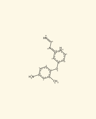 Cc1cc(N)ccc1Oc1cc[nH]/c(=N\C=N)c1